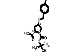 CC(C)(C)OC(=O)N1C[C@@H](OCc2ccc(Cl)cc2)C[C@H]1C(=O)O